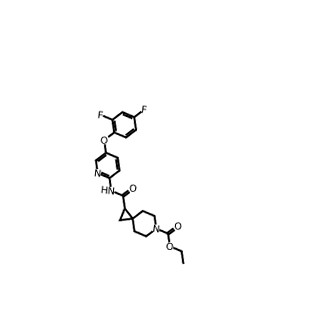 CCOC(=O)N1CCC2(CC1)CC2C(=O)Nc1ccc(Oc2ccc(F)cc2F)cn1